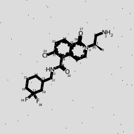 C[C@H](CN)n1ccc2c(C(=O)NCC3CCCC(F)(F)C3)c(Cl)ccc2c1=O